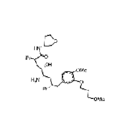 COCCCOc1cc(C[C@@H](C[C@H](N)[C@@H](O)C[C@H](C(=O)N[C@@H]2CCOC2)C(C)C)C(C)C)ccc1OC